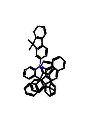 CC1(C)C2=C(C=CCC2)c2ccc(N(c3ccccc3C3(c4ccccc4)c4ccccc4-c4ccccc43)c3c4c(cc5ccccc35)C(C)(C)c3ccccc3-4)cc21